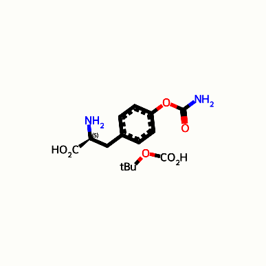 CC(C)(C)OC(=O)O.NC(=O)Oc1ccc(C[C@H](N)C(=O)O)cc1